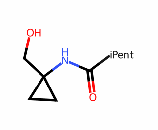 CCCC(C)C(=O)NC1(CO)CC1